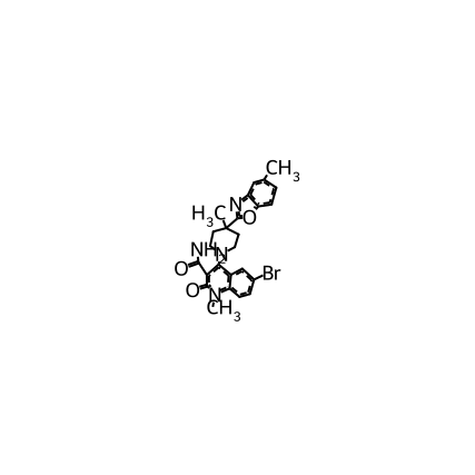 Cc1ccc2oc(C3(C)CCN(c4c(C(N)=O)c(=O)n(C)c5ccc(Br)cc45)CC3)nc2c1